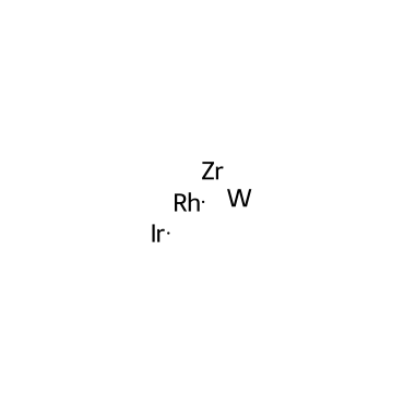 [Ir].[Rh].[W].[Zr]